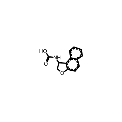 O=C(O)NC1COc2ccc3ccccc3c21